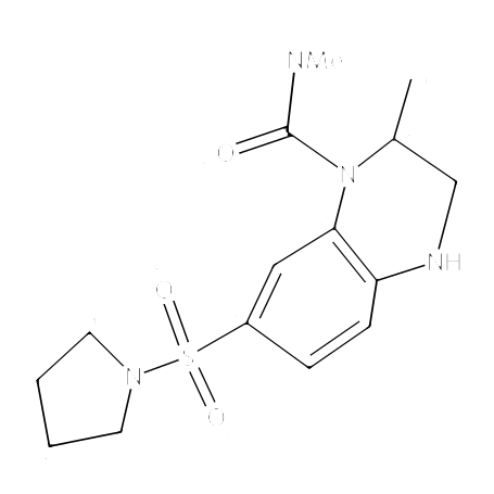 CNC(=O)N1c2cc(S(=O)(=O)N3CCCC3)ccc2NCC1C